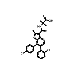 Cc1nn2c(-c3ccc(Cl)cc3)c(-c3ccccc3Cl)cnc2c1C(=O)NC(C)(C)C(=O)O